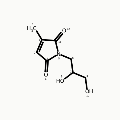 CC1=CC(=O)N(CC(O)CO)C1=O